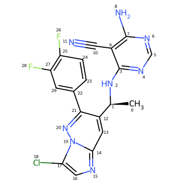 C[C@H](Nc1ncnc(N)c1C#N)c1cc2ncc(Cl)n2nc1-c1ccc(F)c(F)c1